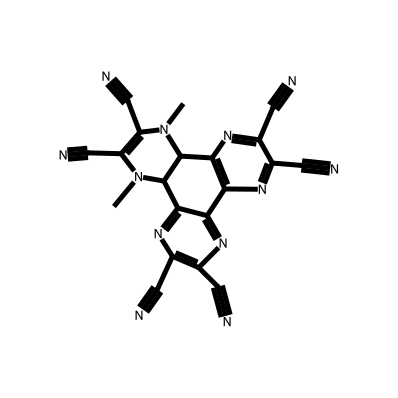 CN1C(C#N)=C(C#N)N(C)C2c3nc(C#N)c(C#N)nc3-c3nc(C#N)c(C#N)nc3C21